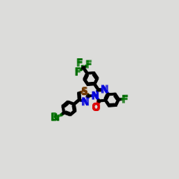 O=c1c2ccc(F)cc2nc(-c2ccc(C(F)(F)F)cc2)n1-c1nc(-c2ccc(Br)cc2)cs1